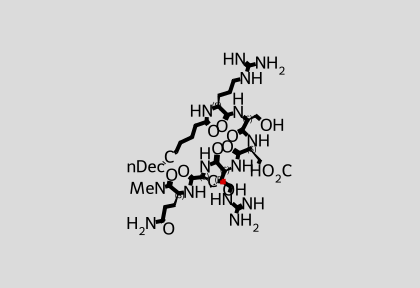 CCCCCCCCCCCCCCCC(=O)N[C@@H](CCCNC(=N)N)C(=O)N[C@@H](CO)C(=O)N[C@@H](CC(=O)O)C(=O)N[C@H](C(=O)N[C@@H](CCCNC(=N)N)C(=O)N[C@@H](CCC(N)=O)C(=O)NC)[C@@H](C)O